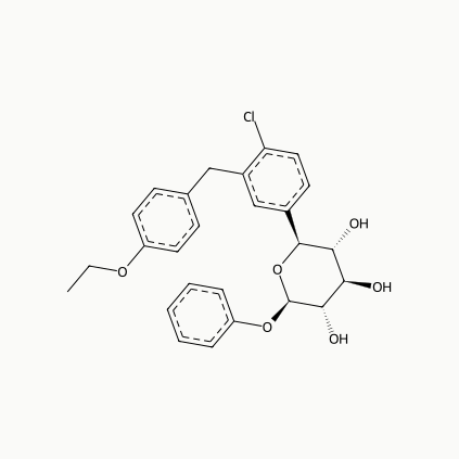 CCOc1ccc(Cc2cc([C@@H]3O[C@H](Oc4ccccc4)[C@@H](O)[C@H](O)[C@H]3O)ccc2Cl)cc1